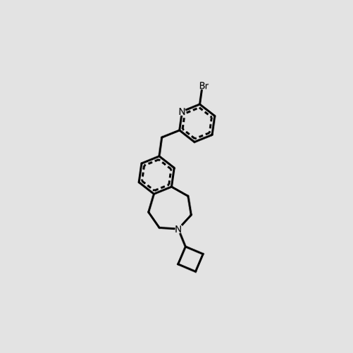 Brc1cccc(Cc2ccc3c(c2)CCN(C2CCC2)CC3)n1